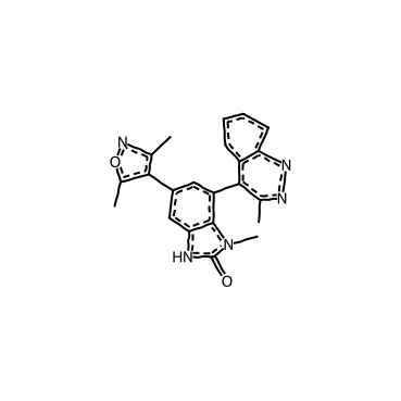 Cc1noc(C)c1-c1cc(-c2c(C)nnc3ccccc23)c2c(c1)[nH]c(=O)n2C